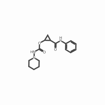 O=C(NN1CCCCC1)OC1CC1C(=O)Nc1ccccc1